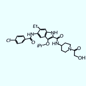 CCc1cc2[nH]c(C(=O)NC3CCN(C(=O)CO)CC3)c(OC(C)C)c2cc1NC(=O)c1ccc(Cl)cc1